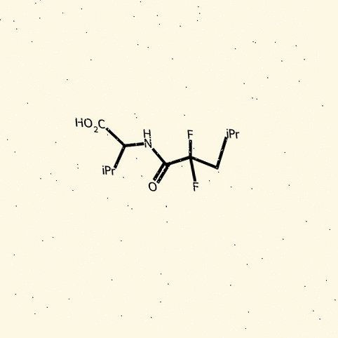 CC(C)CC(F)(F)C(=O)NC(C(=O)O)C(C)C